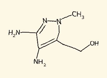 Cn1nc(N)c(N)c1CO